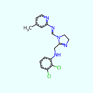 Cc1ccnc(N=CN2CCN=C2CNc2cccc(Cl)c2Cl)c1